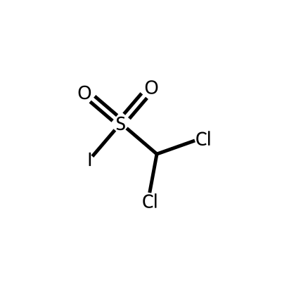 O=S(=O)(I)C(Cl)Cl